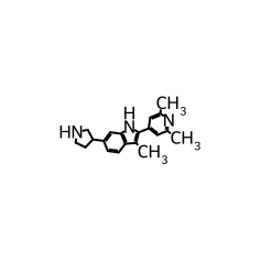 Cc1cc(-c2[nH]c3cc(C4CCNC4)ccc3c2C)cc(C)n1